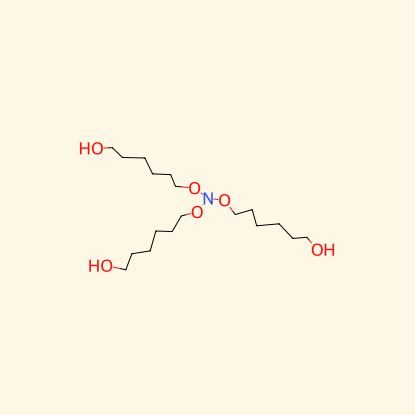 OCCCCCCON(OCCCCCCO)OCCCCCCO